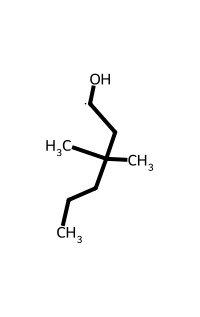 CCCC(C)(C)C[CH]O